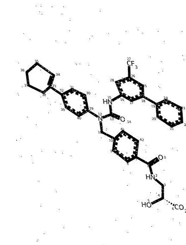 O=C(NC[C@@H](O)C(=O)O)c1ccc(CN(C(=O)Nc2cc(-c3ccccc3)cc(C(F)(F)F)c2)c2ccc(C3=CCCCC3)cc2)cc1